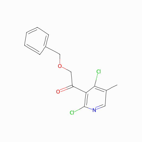 Cc1cnc(Cl)c(C(=O)COCc2ccccc2)c1Cl